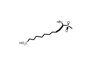 CCCCC(=C=CCCCCCCCC(=O)O)S(C)(=O)=O